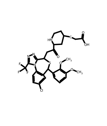 COc1cccc(C2SC(CC(=O)C3CC(CCC(=O)O)CCN3)c3nnc(C(F)(F)F)n3-c3ccc(Cl)cc32)c1OC